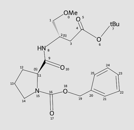 COC[C@H](CC(=O)OC(C)(C)C)NC(=O)[C@@H]1CCCN1C(=O)OCc1ccccc1